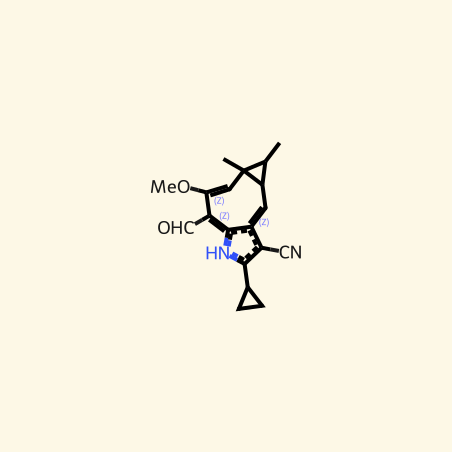 COC1=C/C2(C)C(C)C2/C=c2/c(C#N)c(C3CC3)[nH]/c2=C/1C=O